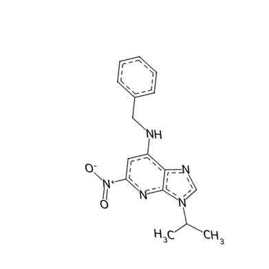 CC(C)n1cnc2c(NCc3ccccc3)cc([N+](=O)[O-])nc21